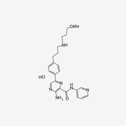 COCCCNCCCc1ccc(-c2cnc(N)c(C(=O)Nc3cccnc3)n2)cc1.Cl